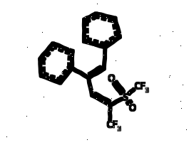 O=S(=O)(/C(=C\C(=Cc1ccccc1)c1ccccc1)C(F)(F)F)C(F)(F)F